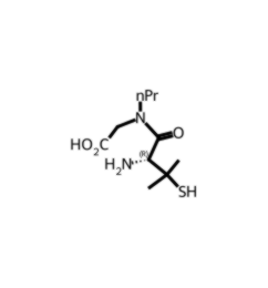 CCCN(CC(=O)O)C(=O)[C@@H](N)C(C)(C)S